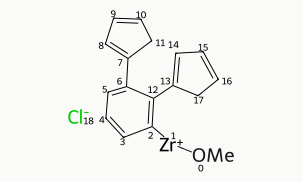 C[O][Zr+][c]1cccc(C2=CC=CC2)c1C1=CC=CC1.[Cl-]